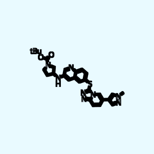 Cn1cc(-c2ccc3nnc(Sc4ccc5ncc(NC6CCN(C(=O)OC(C)(C)C)C6)cc5c4)n3c2)cn1